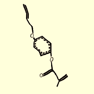 C=CCOc1ccc(OC(=O)C(=C)C)cc1